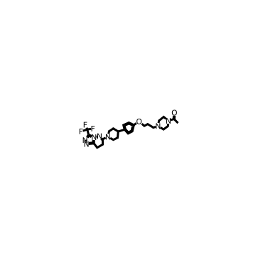 CC(=O)N1CCN(CCCOc2ccc(C3CCN(C4=Nn5c(nnc5C(F)(F)F)CC4)CC3)cc2)CC1